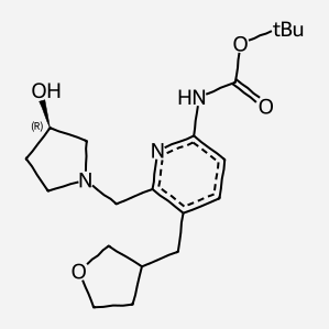 CC(C)(C)OC(=O)Nc1ccc(CC2CCOC2)c(CN2CC[C@@H](O)C2)n1